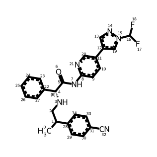 CC(CN[C@@H](C(=O)Nc1ccc(-c2cnn(C(F)F)c2)cn1)c1ccccc1)c1ccc(C#N)cc1